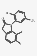 CC(C)(C)c1ccc(O)c(N2C(=O)Cc3ccc(F)c(F)c32)c1